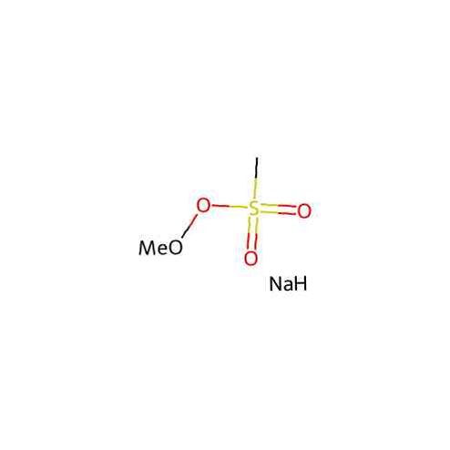 COOS(C)(=O)=O.[NaH]